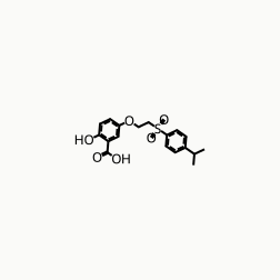 CC(C)c1ccc(S(=O)(=O)CCOc2ccc(O)c(C(=O)O)c2)cc1